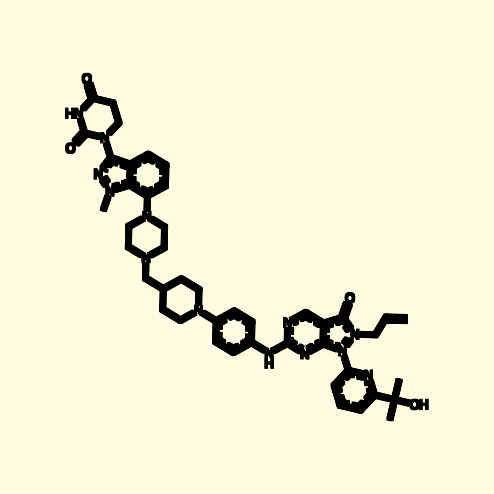 C=CCn1c(=O)c2cnc(Nc3ccc(N4CCC(CN5CCN(c6cccc7c(N8CCC(=O)NC8=O)nn(C)c67)CC5)CC4)cc3)nc2n1-c1cccc(C(C)(C)O)n1